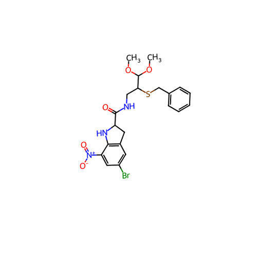 COC(OC)C(CNC(=O)C1Cc2cc(Br)cc([N+](=O)[O-])c2N1)SCc1ccccc1